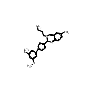 COc1cc(OC)cc(-c2ccc(C3N=c4ccc(C)cc4=CN3CCCN)cc2)c1